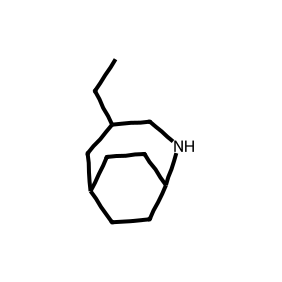 CCC1CNC2CCC(CC2)C1